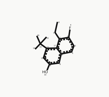 CCc1c(F)ccc2cc(O)cc(C(C)(C)C)c12